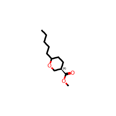 CCCCCC1CC[C@@H](C(=O)OC)CO1